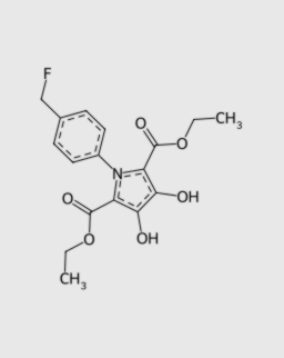 CCOC(=O)c1c(O)c(O)c(C(=O)OCC)n1-c1ccc(CF)cc1